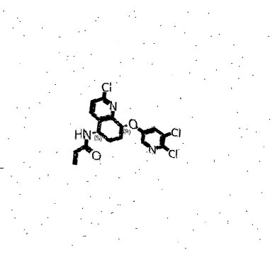 C=CC(=O)N[C@H]1CC[C@@H](Oc2cnc(Cl)c(Cl)c2)c2nc(Cl)ccc21